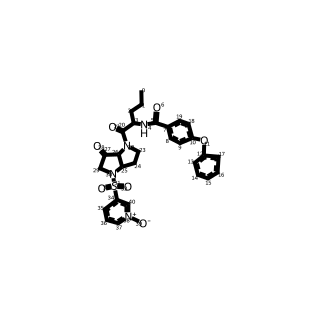 CCCC(NC(=O)c1ccc(Oc2ccccc2)cc1)C(=O)N1CCC2C1C(=O)CN2S(=O)(=O)c1ccc[n+]([O-])c1